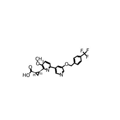 COc1ccc(-c2cncc(OCc3ccc(C(F)(F)F)cc3)c2)nc1[C@H]1C[C@H]1C(=O)O